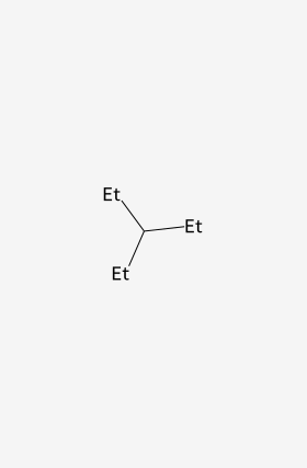 [C]CC(CC)CC